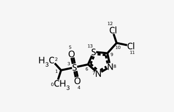 CC(C)S(=O)(=O)c1nnc(C(Cl)Cl)s1